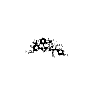 BC(B)(B)Oc1cccc(OC(B)(B)B)c1-n1c(NS(=O)(=O)[C@@H](C)[C@H](OC)c2ncc(C)cn2)nnc1-c1cccc(OC)n1